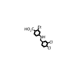 CCc1cc(NCc2ccc(Cl)c(Cl)c2)ccc1C(=O)O